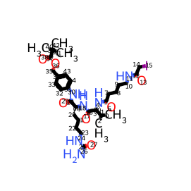 CC(C)[C@@H](NC(=O)CCCCNC(=O)CI)C(=O)N[C@H](CCCCNC(N)=O)C(=O)Nc1ccc(COC(=O)C(C)(C)C)cc1